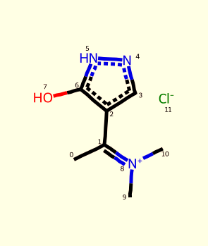 CC(c1cn[nH]c1O)=[N+](C)C.[Cl-]